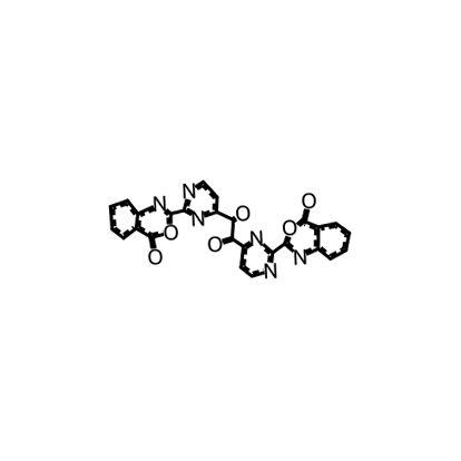 O=C(C(=O)c1ccnc(-c2nc3ccccc3c(=O)o2)n1)c1ccnc(-c2nc3ccccc3c(=O)o2)n1